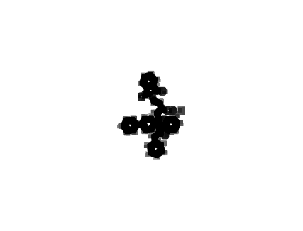 O=C(O)C(CCN1C(=O)c2ccccc2C1=O)CC(=O)C1(c2c(Cc3ccccc3)oc3ccccc23)C=CC(c2ccccc2)=CC1